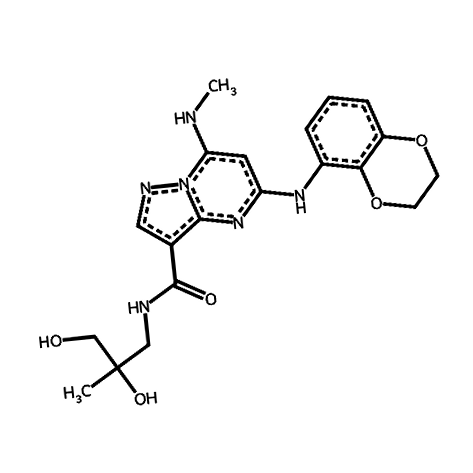 CNc1cc(Nc2cccc3c2OCCO3)nc2c(C(=O)NCC(C)(O)CO)cnn12